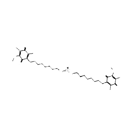 COC1=C(C)C(=O)C(C)=C(CCCCCCCCO[N+](=O)OCCCCCCCCC2=C(C)C(=O)C(C)=C(OC)C2=O)C1=O